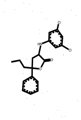 CCCC1(c2ccccc2)CC(Nc2cc(Cl)cc(Cl)c2)C(=O)O1